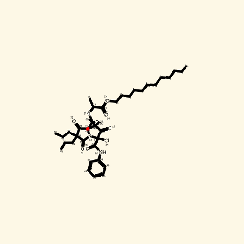 CCCCCCCCCCCCOC(=O)C(C)OC(=O)C1C(=O)C(CCC)(CCC)C(=O)N1C(Cl)(C(=O)Nc1ccccc1)C(=O)C(C)(C)C